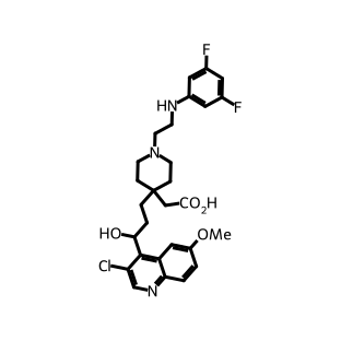 COc1ccc2ncc(Cl)c(C(O)CCC3(CC(=O)O)CCN(CCNc4cc(F)cc(F)c4)CC3)c2c1